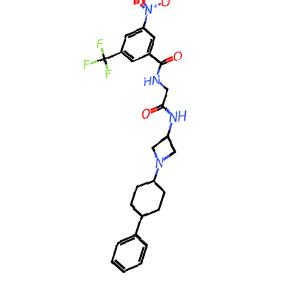 O=C(CNC(=O)c1cc([N+](=O)[O-])cc(C(F)(F)F)c1)NC1CN(C2CCC(c3ccccc3)CC2)C1